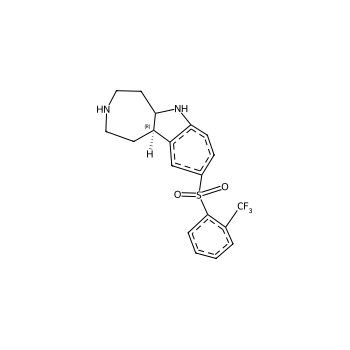 O=S(=O)(c1ccc2c(c1)[C@H]1CCNCCC1N2)c1ccccc1C(F)(F)F